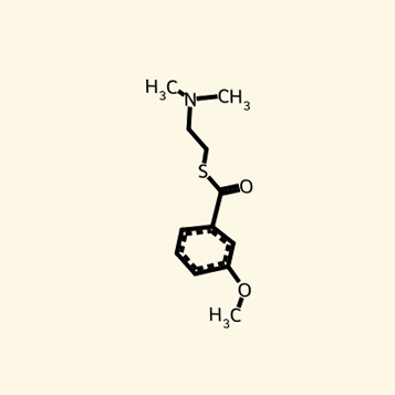 COc1cccc(C(=O)SCCN(C)C)c1